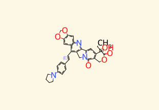 CC[C@@]1(O)C(=O)OCc2c1cc1n(c2=O)Cc2c-1nc1cc3c(cc1c2/C=C/c1ccc(N2CCCC2)cc1)OCO3